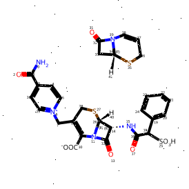 NC(=O)c1cc[n+](CC2=C(C(=O)[O-])N3C(=O)[C@@H](NC(=O)C(c4ccccc4)S(=O)(=O)O)[C@H]3SC2)cc1.O=C1C[C@H]2SCC=CN12